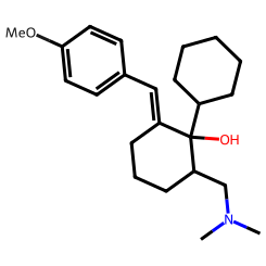 COc1ccc(C=C2CCCC(CN(C)C)C2(O)C2CCCCC2)cc1